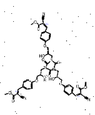 COC(=O)/C(C#N)=C\c1ccc(OCC(O)Cn2c(=O)n(CC(O)COc3ccc(/C=C(/C#N)C(=O)OC)cc3)c(=O)n(CC(O)COc3ccc(/C=C(\C#N)C(=O)OC)cc3)c2=O)cc1